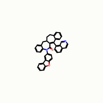 O=C1C2=C(c3cccc4ccncc34)c3ccccc3CCC2Cc2ccccc2N1c1ccc2oc3ccccc3c2c1